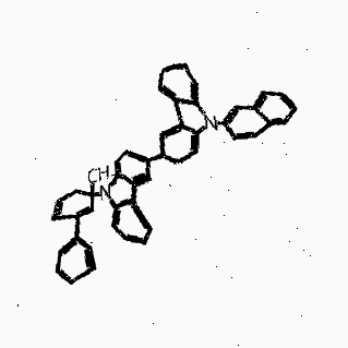 CC1(n2c3ccccc3c3cc(C4C=c5c(n(-c6ccc7ccccc7c6)c6ccccc56)=CC4)ccc32)C=C(c2ccccc2)C=CC1